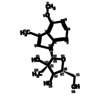 COc1ncnc2c1c(C)cn2[C@@H]1O[C@H](CO)C(O)[C@@]1(C)O